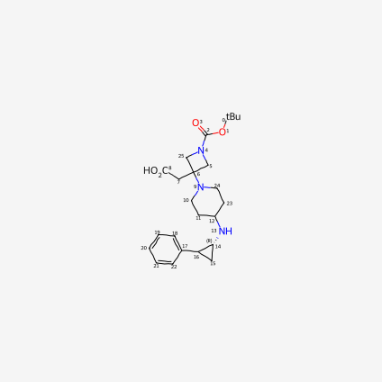 CC(C)(C)OC(=O)N1CC(CC(=O)O)(N2CCC(N[C@@H]3CC3c3ccccc3)CC2)C1